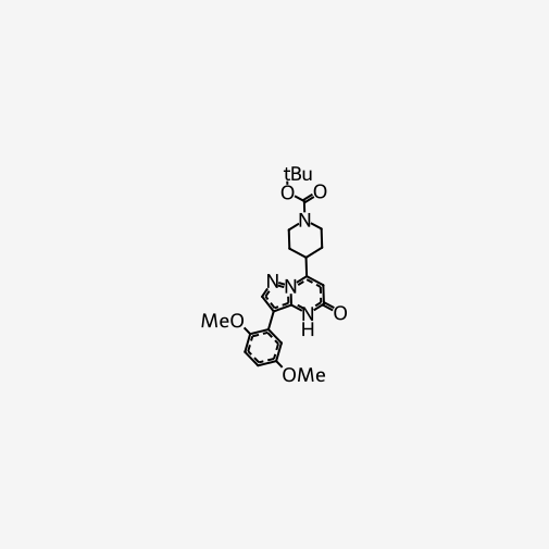 COc1ccc(OC)c(-c2cnn3c(C4CCN(C(=O)OC(C)(C)C)CC4)cc(=O)[nH]c23)c1